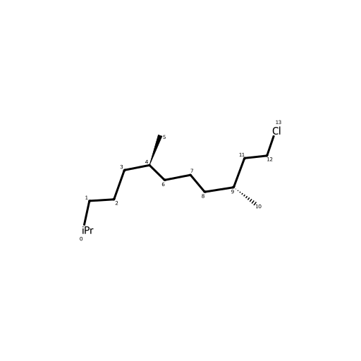 CC(C)CCC[C@@H](C)CCC[C@@H](C)CCCl